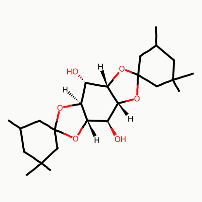 CC1CC(C)(C)CC2(C1)O[C@@H]1[C@@H](O)[C@@H]3OC4(CC(C)CC(C)(C)C4)O[C@H]3[C@H](O)[C@@H]1O2